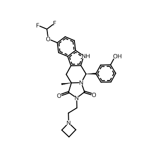 C[C@@]12Cc3c([nH]c4ccc(OC(F)F)cc34)[C@@H](c3cccc(O)c3)N1C(=O)N(CCN1CCC1)C2=O